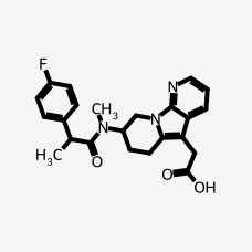 CC(C(=O)N(C)C1CCc2c(CC(=O)O)c3cccnc3n2C1)c1ccc(F)cc1